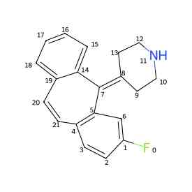 Fc1ccc2c(c1)C(=C1CCNCC1)c1ccccc1C=C2